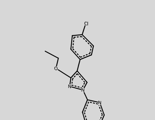 CCOc1nn(-c2ccccn2)cc1-c1ccc(Cl)cc1